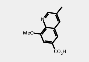 COc1cc(C(=O)O)cc2cc(C)cnc12